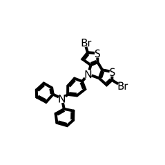 Brc1cc2c(s1)c1sc(Br)cc1n2-c1ccc(N(c2ccccc2)c2ccccc2)cc1